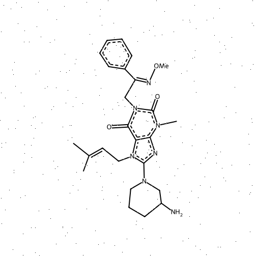 CON=C(Cn1c(=O)c2c(nc(N3CCCC(N)C3)n2CC=C(C)C)n(C)c1=O)c1ccccc1